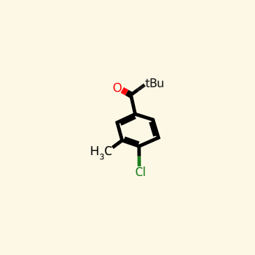 Cc1cc(C(=O)C(C)(C)C)ccc1Cl